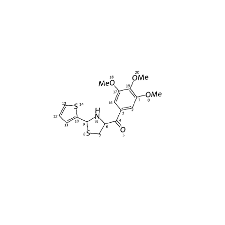 COc1cc(C(=O)C2CSC(c3cccs3)N2)cc(OC)c1OC